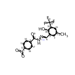 Cc1cc(/C=N/NC(=O)c2ccc([N+](=O)[O-])cc2)c(O)c(C(F)(F)F)c1